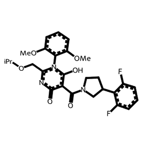 COc1cccc(OC)c1-n1c(COC(C)C)nc(=O)c(C(=O)N2CCC(c3c(F)cccc3F)C2)c1O